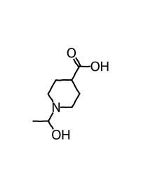 CC(O)N1CCC(C(=O)O)CC1